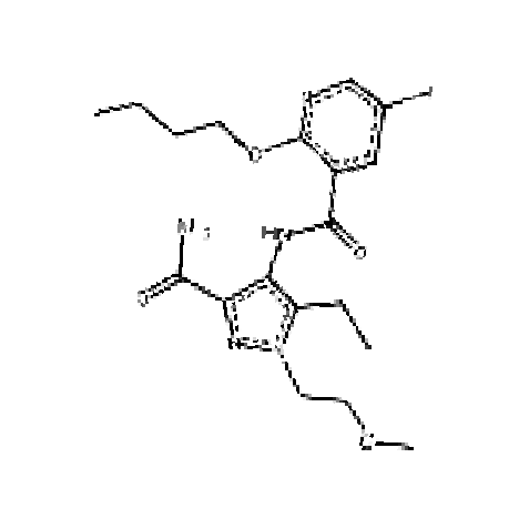 CCCCOc1ncc(I)cc1C(=O)Nc1c(C(N)=O)nn(CCOC)c1CC